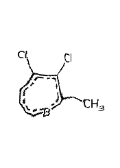 Cc1bccc(Cl)c1Cl